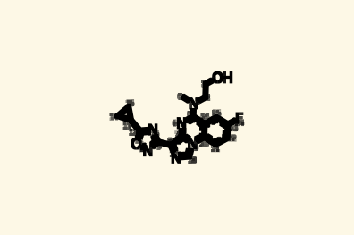 CN(CCO)c1nc2c(-c3noc(C4CC4)n3)ncn2c2ccc(F)cc12